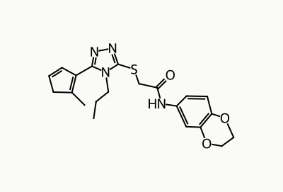 CCCn1c(SCC(=O)Nc2ccc3c(c2)OCCO3)nnc1C1=C(C)CC=C1